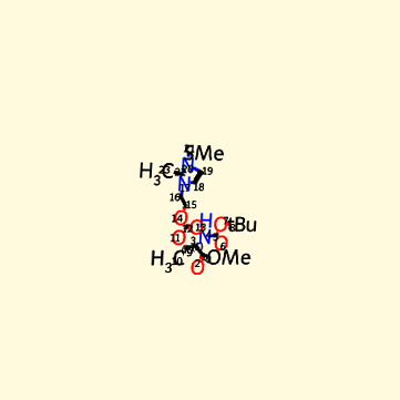 COC(=O)[C@@H](NC(=O)OC(C)(C)C)[C@@H](C)OC(=O)OCCN1C=CN(SC)C1C